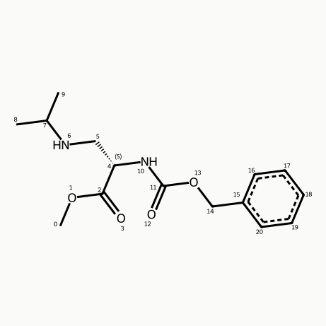 COC(=O)[C@H](CNC(C)C)NC(=O)OCc1ccccc1